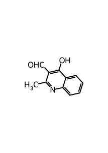 Cc1nc2ccccc2c(O)c1C=O